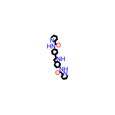 O=C(Nc1ccc(-c2cc3ccc(NC(=O)c4ccccn4)cc3[nH]2)cc1)c1ccccn1